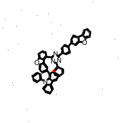 c1ccc(-c2nc(-c3ccc(-c4ccc5c(c4)oc4ccccc45)cc3)nc(-c3cccc4oc5ccc(-c6cccc7c8ccccc8n(-c8ccccc8)c67)cc5c34)n2)cc1